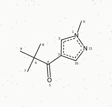 Cn1cc(C(=O)C(C)(C)C)cn1